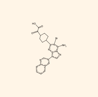 Nc1c(Br)c(C2CCC(C(=O)C(=O)O)CC2)nc2c(-c3cnc4ccccc4c3)cnn12